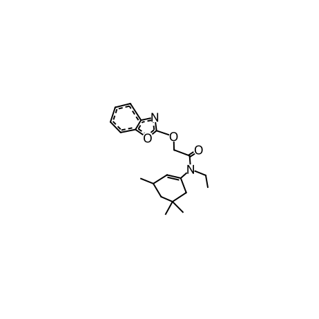 CCN(C(=O)COc1nc2ccccc2o1)C1=CC(C)CC(C)(C)C1